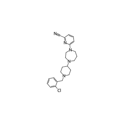 N#Cc1cccc(N2CCCN(C3CCN(Cc4ccccc4Cl)CC3)CC2)n1